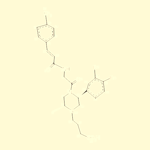 C[C@@H]1CN(C(=O)CNC(=O)/C=C/c2ccc(C(F)(F)F)cc2)[C@@H](c2ccc(F)c(F)c2)CN1CCCC(=O)O